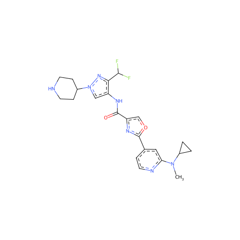 CN(c1cc(-c2nc(C(=O)Nc3cn(C4CCNCC4)nc3C(F)F)co2)ccn1)C1CC1